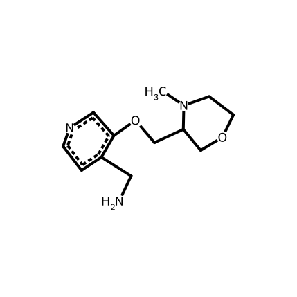 CN1CCOCC1COc1cnccc1CN